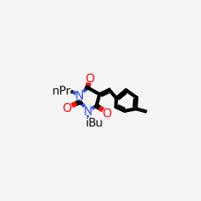 CCCN1C(=O)/C(=C/c2ccc(C)cc2)C(=O)N([C@H](C)CC)C1=O